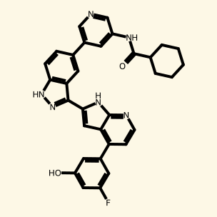 O=C(Nc1cncc(-c2ccc3[nH]nc(-c4cc5c(-c6cc(O)cc(F)c6)ccnc5[nH]4)c3c2)c1)C1CCCCC1